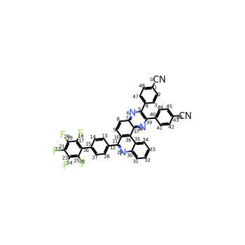 N#Cc1ccc(-c2nc3ccc4c(-c5ccc(-c6c(F)c(F)c(F)c(F)c6F)cc5)nc5ccccc5c4c3nc2-c2ccc(C#N)cc2)cc1